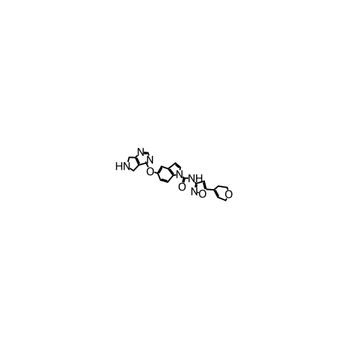 O=C(Nc1cc(C2=CCOCC2)on1)n1ccc2cc(Oc3ncnc4c3CNC4)ccc21